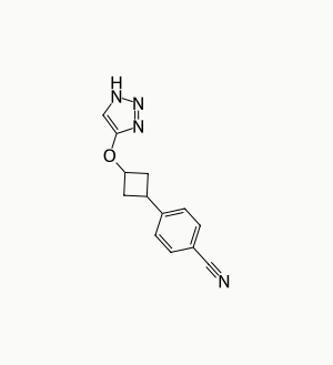 N#Cc1ccc(C2CC(Oc3c[nH]nn3)C2)cc1